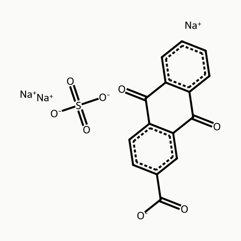 O=C([O-])c1ccc2c(c1)C(=O)c1ccccc1C2=O.O=S(=O)([O-])[O-].[Na+].[Na+].[Na+]